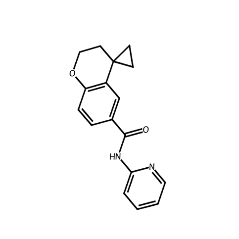 O=C(Nc1ccccn1)c1ccc2c(c1)C1(CCO2)CC1